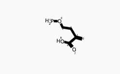 C=C(CCOP)C(=O)O